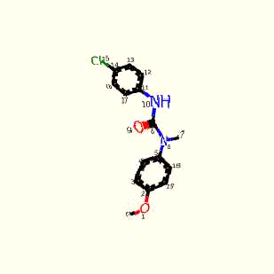 COc1ccc(N(C)C(=O)Nc2ccc(Cl)cc2)cc1